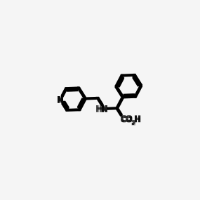 O=C(O)C(NCc1ccncc1)c1ccccc1